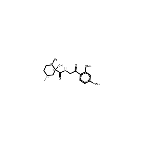 COc1ccc(C(=O)CNC(=O)[C@]2(O)C[C@H](C)CC[C@H]2C(C)C)c(OC)c1